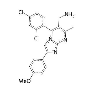 COc1ccc(-c2cn3c(-c4ccc(Cl)cc4Cl)c(CN)c(C)nc3n2)cc1